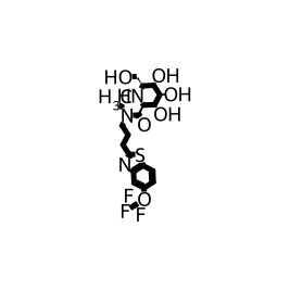 CCN(CCCc1nc2cc(OC(F)(F)F)ccc2s1)C(=O)[C@H]1N[C@H](CO)[C@@H](O)[C@H](O)[C@@H]1O